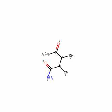 CNC(=O)C(C#N)C(C#N)C(N)=O